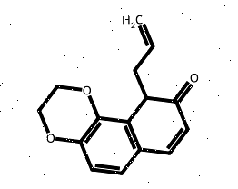 C=CCC1C(=O)C=Cc2ccc3c(c21)OCCO3